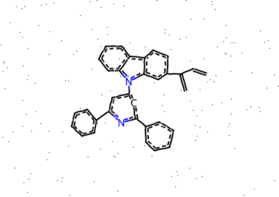 C=CC(=C)c1ccc2c3ccccc3n(-c3cc(-c4ccccc4)nc(-c4ccccc4)c3)c2c1